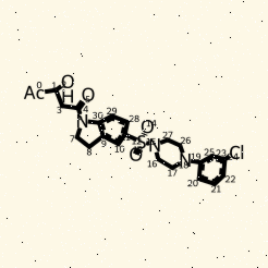 CC(=O)C(O)CC(=O)N1CCc2cc(S(=O)(=O)N3CCN(c4cccc(Cl)c4)CC3)ccc21